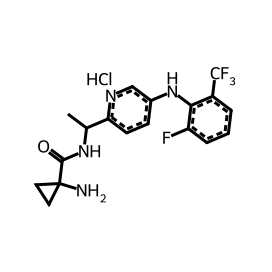 CC(NC(=O)C1(N)CC1)c1ccc(Nc2c(F)cccc2C(F)(F)F)cn1.Cl